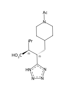 CC(=O)N1CCC(C[C@H](c2nnn[nH]2)[C@@H](C(=O)O)C(C)C)CC1